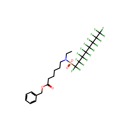 CCN(CCCCCC(=O)OCc1ccccc1)S(=O)(=O)C(F)(F)C(F)(F)C(F)(F)C(F)(F)C(F)(F)C(F)(F)C(F)(F)C(F)(F)F